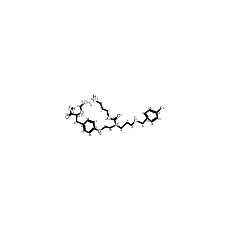 CCCCOC(=O)N(CCCOCc1ccc(F)cc1)CCOc1ccc(CC(OCC)C(=O)O)cc1